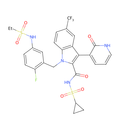 CCS(=O)(=O)Nc1ccc(F)c(Cn2c(C(=O)NS(=O)(=O)C3CC3)c(-c3ccc[nH]c3=O)c3cc(C(F)(F)F)ccc32)c1